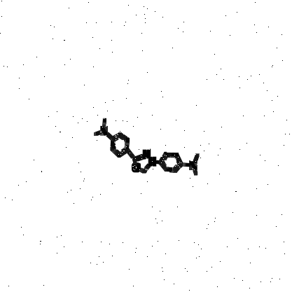 CN(C)c1ccc(C2=NN(c3ccc(N(C)C)cc3)CO2)cc1